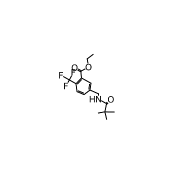 CCOC(=O)c1cc(CNC(=O)C(C)(C)C)ccc1C(F)(F)F